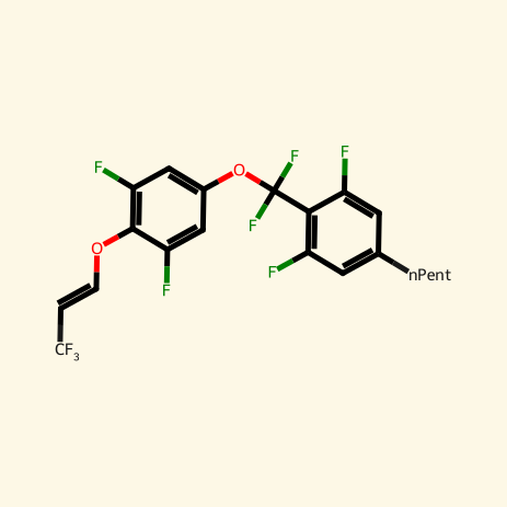 CCCCCc1cc(F)c(C(F)(F)Oc2cc(F)c(O/C=C/C(F)(F)F)c(F)c2)c(F)c1